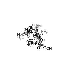 CCCC[C@H](NC(=O)CNC(=O)[C@H](Cc1ccc(O)cc1)NC(=O)CNC(=O)[C@H](CCCCN)NC(=O)CNC(=O)[C@H](CCCNC(=N)N)NC(=O)[C@@H](NC(=O)CNC(=O)[C@H](CC(C)C)NC(=O)[C@@H]1CCCN1C(=O)CN)C(C)C)C(=O)N[C@@H](CS)C(=O)O